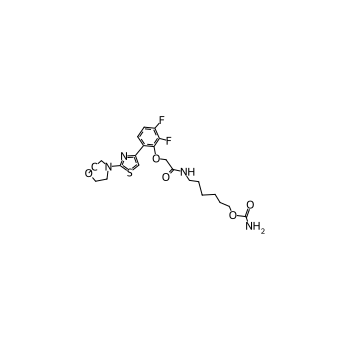 NC(=O)OCCCCCCNC(=O)COc1c(-c2csc(N3CCOCC3)n2)ccc(F)c1F